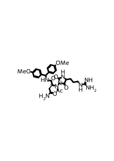 COc1ccc(C(NC(=O)[C@H](CC(N)=O)N(C(C)=O)N2C(=O)NC(CCCNC(=N)N)C2=O)c2ccc(OC)cc2)cc1